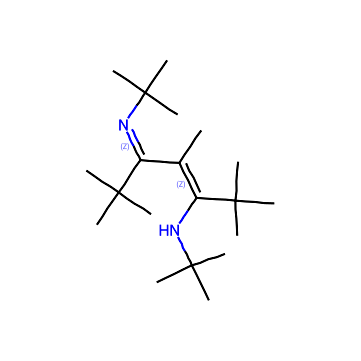 CC(/C(=N\C(C)(C)C)C(C)(C)C)=C(/NC(C)(C)C)C(C)(C)C